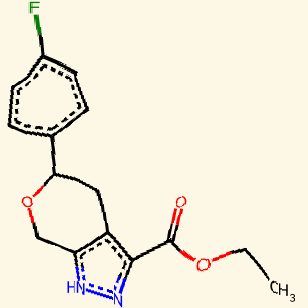 CCOC(=O)c1n[nH]c2c1CC(c1ccc(F)cc1)OC2